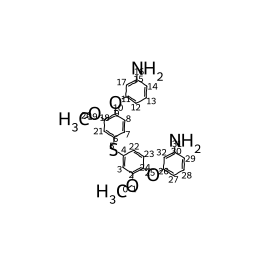 COc1cc(Sc2ccc(Oc3cccc(N)c3)c(OC)c2)ccc1Oc1cccc(N)c1